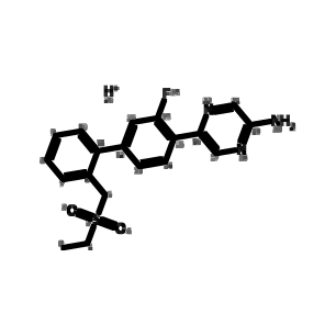 CCS(=O)(=O)Cc1ccccc1-c1ccc(-c2cnc(N)cn2)c(F)c1.[H+]